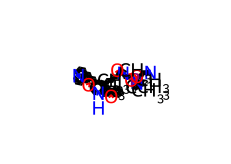 CC(C)N(C(C)C)P(OCCC#N)OCCN(C)C(=O)CCCCCC1(C)CC2=Cc3cc4c5c(c3OC2CCNc2cc3oc6ccccc6c3cc21)CCCN5CCC4